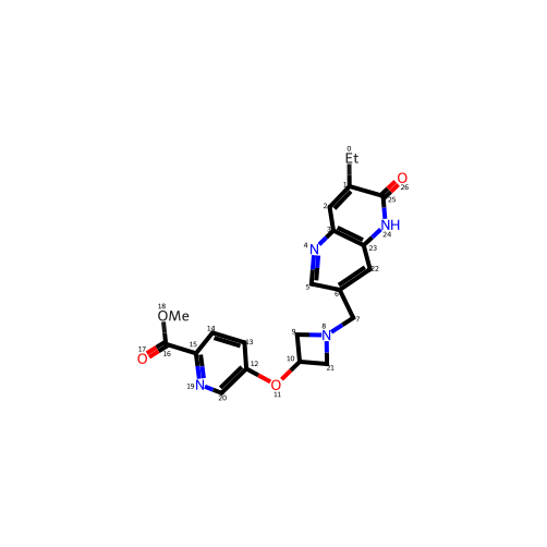 CCc1cc2ncc(CN3CC(Oc4ccc(C(=O)OC)nc4)C3)cc2[nH]c1=O